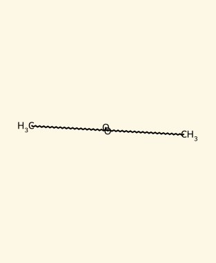 CCCCCCCCCCCCCCCCCCCCCCCCCCCCCCCCCCCCCOC(=O)CCCCCCCCCCCCCCCCCCCCCCCCCCCCCCCCCCCC